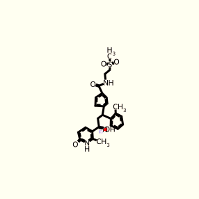 Cc1ccccc1C(C/C(=N\O)c1ccc(=O)[nH]c1C)c1ccc(C(=O)NCCS(C)(=O)=O)cc1